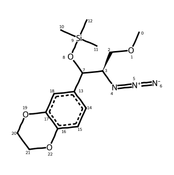 COC[C@@H](N=[N+]=[N-])C(O[Si](C)(C)C)c1ccc2c(c1)OCCO2